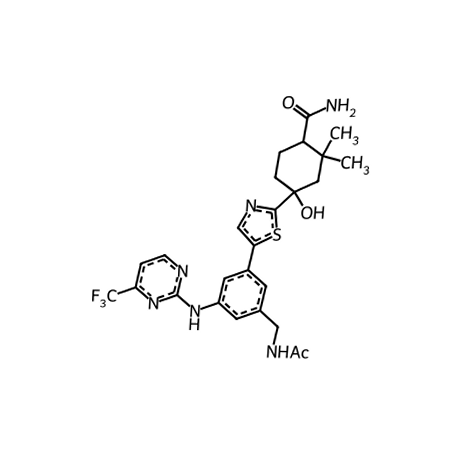 CC(=O)NCc1cc(Nc2nccc(C(F)(F)F)n2)cc(-c2cnc(C3(O)CCC(C(N)=O)C(C)(C)C3)s2)c1